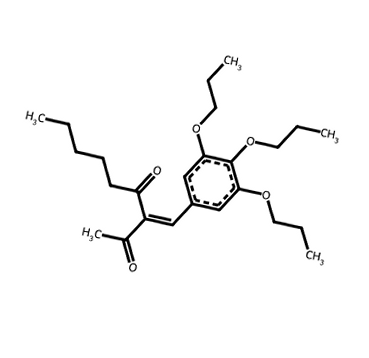 CCCCCC(=O)C(=Cc1cc(OCCC)c(OCCC)c(OCCC)c1)C(C)=O